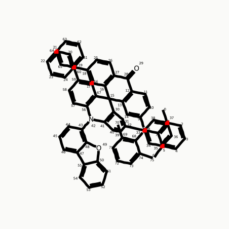 Cc1cccc(C)c1B(c1ccc2c(c1)C1(c3cc(-c4ccccc4)ccc3C2=O)c2cc(-c3ccccc3)ccc2N(c2cccc3c2oc2ccccc23)c2ccc(-c3ccccc3)cc21)c1c(C)cccc1C